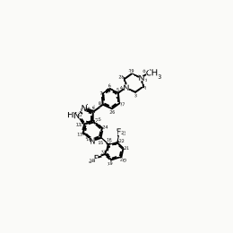 CN1CCN(c2ccc(-c3n[nH]c4cnc(-c5c(F)cccc5F)cc34)cc2)CC1